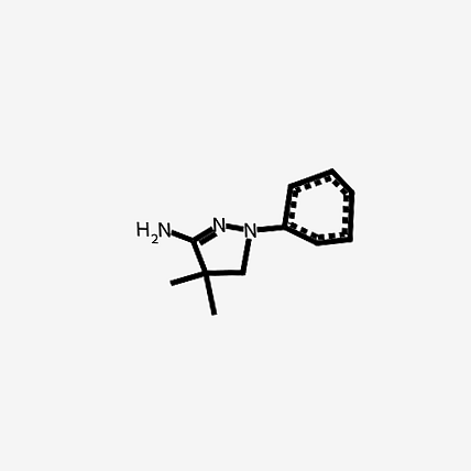 CC1(C)CN(c2ccccc2)N=C1N